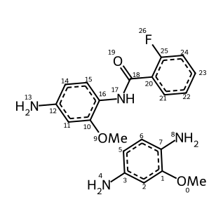 COc1cc(N)ccc1N.COc1cc(N)ccc1NC(=O)c1ccccc1F